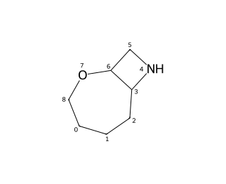 C1CCC2NCC2OC1